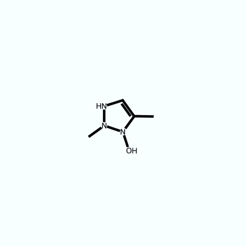 CC1=CNN(C)N1O